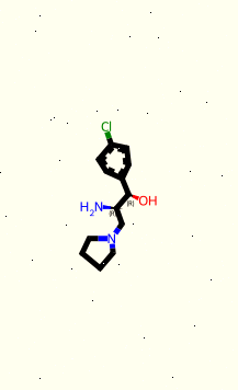 N[C@H](CN1CCCC1)[C@H](O)c1ccc(Cl)cc1